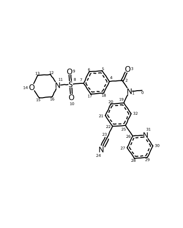 CN(C(=O)c1ccc(S(=O)(=O)N2CCOCC2)cc1)c1ccc(C#N)c(-c2ccccn2)c1